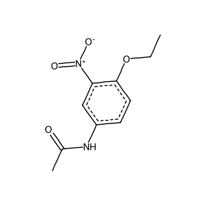 CCOc1ccc(NC(C)=O)cc1[N+](=O)[O-]